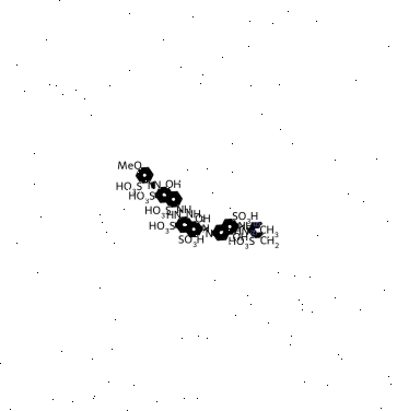 C=C/C(=C(\C=C/C)NNc1c(S(=O)(=O)O)cc2cc(N=Nc3c(S(=O)(=O)O)cc4cc(S(=O)(=O)O)c(NNc5ccc6c(O)c(N=Nc7ccc(OC)cc7S(=O)(=O)O)c(S(=O)(=O)O)cc6c5S(=O)(=O)O)c(N)c4c3O)ccc2c1O)S(=O)(=O)O